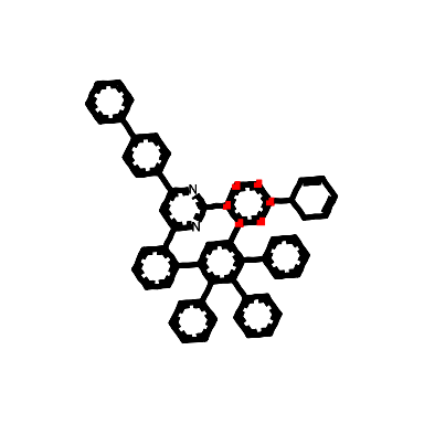 C1=CCC(c2ccc(-c3nc(-c4ccc(-c5ccccc5)cc4)cc(-c4ccccc4-c4cc(-c5ccccc5)c(-c5ccccc5)c(-c5ccccc5)c4-c4ccccc4)n3)cc2)C=C1